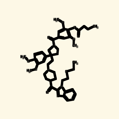 CCCC(=O)Oc1c(OC)cc(C(=O)N2CCC(CCN3CCC(C(=O)c4nc5ccccc5n4CCOCC)CC3)(c3ccc(OC)c(OC)c3)C2)cc1OC